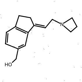 OCc1ccc2c(c1)/C(=C/CN1CCC1)CC2